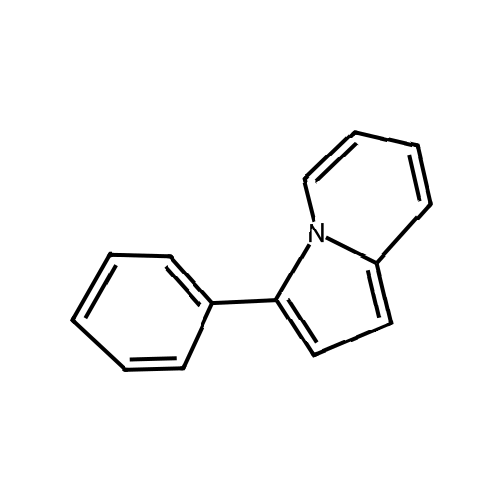 c1ccc(-c2ccc3ccccn23)cc1